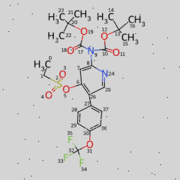 CCS(=O)(=O)Oc1cc(N(C(=O)OC(C)(C)C)C(=O)OC(C)(C)C)ncc1-c1ccc(OC(F)(F)F)cc1